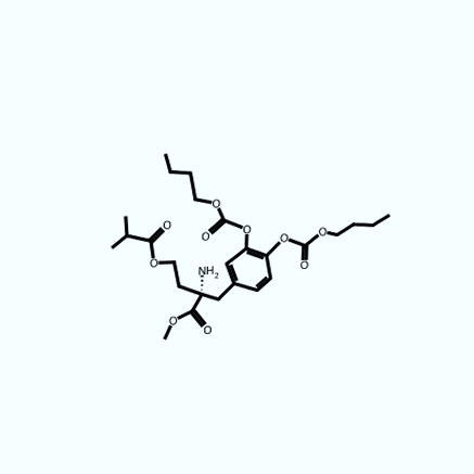 CCCCOC(=O)Oc1ccc(C[C@](N)(CCOC(=O)C(C)C)C(=O)OC)cc1OC(=O)OCCCC